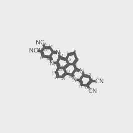 N#Cc1cc2nc3c4cccc5c6nc7cc(C#N)c(C#N)cc7nc6c6cccc(c3nc2cc1C#N)c6c45